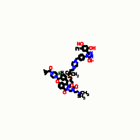 CC(C)c1cc(-c2nnc(O)n2-c2ccc(CN3CCN(CCC(C)(C)SSCCOC(=O)N(CCN(C)C)Cn4nc(Cc5ccc(F)c(C(=O)N6CCN(C(=O)C7CC7)CC6)c5)c5ccccc5c4=O)CC3)cc2)c(O)cc1O